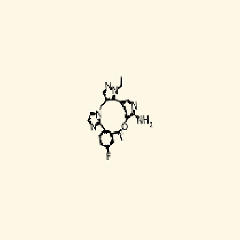 CCn1ncc2c1-c1cnc(N)c(c1)O[C@@H](C)c1cc(F)ccc1-c1nccn1C2